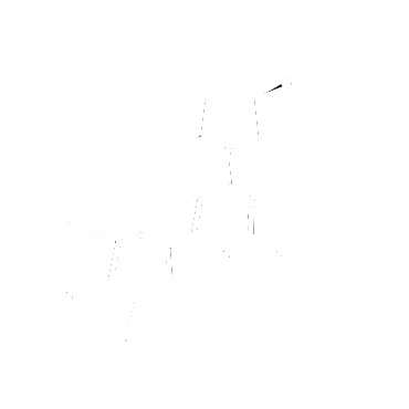 C[C@@H]1C[C@@H](NC(=O)O)CN(c2cc(-c3cc(F)c(C#N)c(F)c3)nc(N)n2)C1